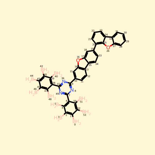 Bc1c(B)c(B)c(-c2nc(-c3ccc4c(c3)oc3cc(-c5cccc6c5oc5ccccc56)ccc34)nc(-c3c(B)c(B)c(B)c(B)c3B)n2)c(B)c1B